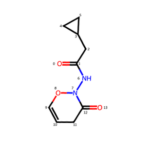 O=C(CC1CC1)NN1OC=CCC1=O